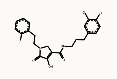 O=C(NCCCc1ccc(Cl)c(Cl)c1)C1=C(O)C(=O)N(CCc2ccccc2F)C1